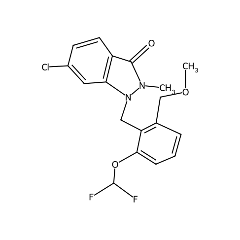 COCc1cccc(OC(F)F)c1Cn1c2cc(Cl)ccc2c(=O)n1C